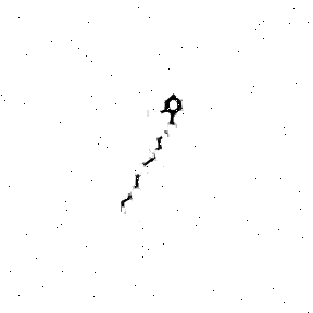 CC(C)c1ccccc1C(C)SSCCNC(=O)COCCOCCN